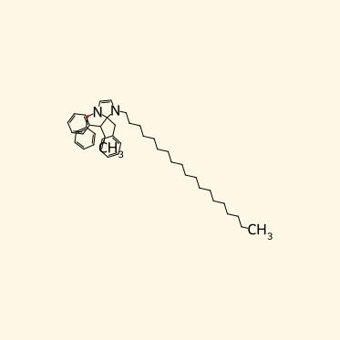 CCCCCCCCCCCCCCCCCCCN1C=CN(Cc2ccccc2)C1(Cc1ccccc1)C(CC)c1ccccc1